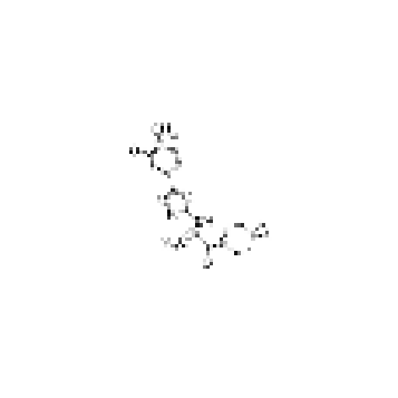 C[C@H](Nc1nnc(-c2ccn(C)c(=O)c2)o1)C(=O)N1CCC2(CC1)CC2